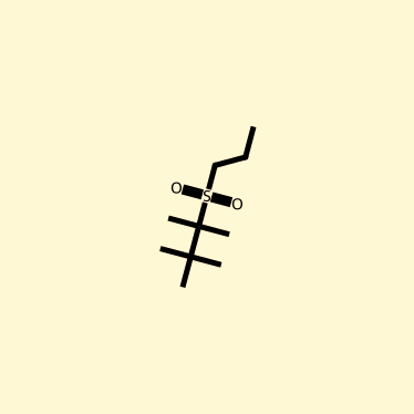 CCCS(=O)(=O)C(C)(C)C(C)(C)C